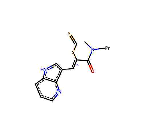 CC(C)N(C)C(=O)/C(=C/c1c[nH]c2cccnc12)SC=S